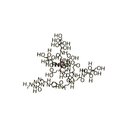 C[C@H](CCC(=O)N[C@@H](CCC(=O)NC[C@H](O)[C@@H](O)[C@H](O)[C@H](O)CO)C(=O)N[C@H](CCC(=O)O)C(=O)N[C@@H](CCC(=O)NC[C@H](O)[C@@H](O)[C@H](O)[C@H](O)CO)C(=O)N[C@H](CCC(=O)O)C(=O)N[C@@H](CCC(=O)NC[C@H](O)[C@@H](O)[C@H](O)[C@H](O)CO)C(=O)N[C@H](CS)C(=O)O)NC(=O)c1ccc(NCc2cnc3nc(N)[nH]c(=O)c3n2)cc1